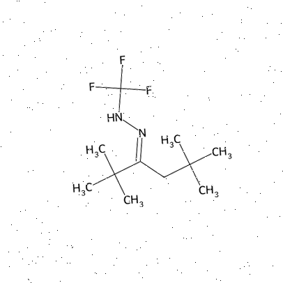 CC(C)(C)CC(=NNC(F)(F)F)C(C)(C)C